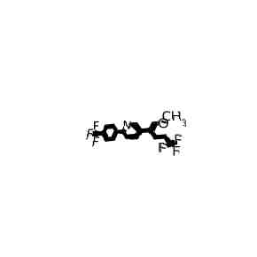 COC=C(CCC(F)(F)F)c1ccc(-c2ccc(C(F)(F)F)cc2)nc1